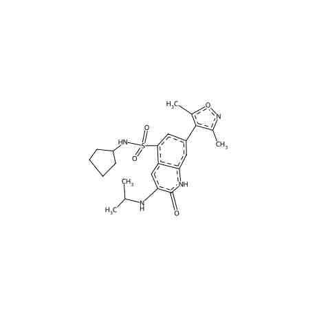 Cc1noc(C)c1-c1cc(S(=O)(=O)NC2CCCC2)c2cc(NC(C)C)c(=O)[nH]c2c1